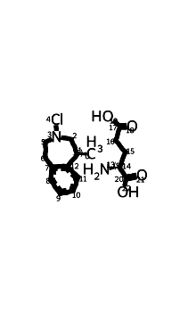 C[C@@H]1CN(Cl)CCc2ccccc21.N[C@@H](CCC(=O)O)C(=O)O